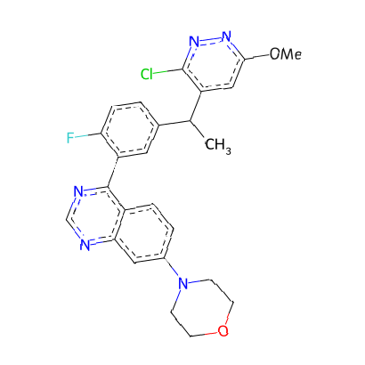 COc1cc(C(C)c2ccc(F)c(-c3ncnc4cc(N5CCOCC5)ccc34)c2)c(Cl)nn1